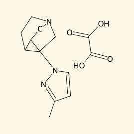 Cc1ccn(C2CN3CCC2CC3)n1.O=C(O)C(=O)O